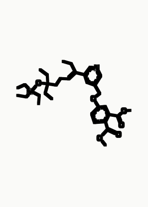 CCC(=CCCC(CC)(CC)O[Si](CC)(CC)CC)c1cncc(COc2ccc(C(=O)OC)c(C(=O)OC)c2)c1